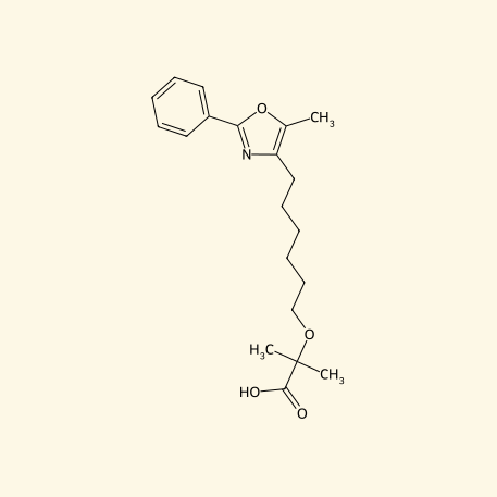 Cc1oc(-c2ccccc2)nc1CCCCCCOC(C)(C)C(=O)O